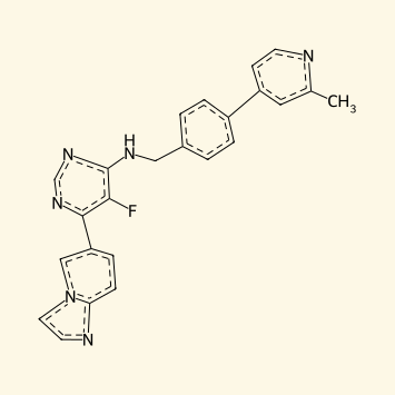 Cc1cc(-c2ccc(CNc3ncnc(-c4ccc5nccn5c4)c3F)cc2)ccn1